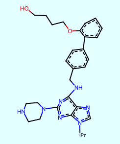 CC(C)n1cnc2c(NCc3ccc(-c4ccccc4OCCCCO)cc3)nc(N3CCNCC3)nc21